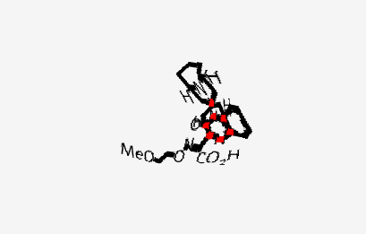 COCCO/N=C(\C(=O)O)c1nc2ccccc2n([C@H]2C[C@H]3CCC[C@@H](C2)N3[C@H]2C[C@@H]3CCC[C@@H](C3)C2)c1=O